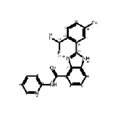 O=C(Nc1ccccn1)c1cccc2[nH]c(-c3cc(F)ccc3C(F)F)nc12